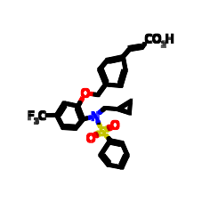 O=C(O)C=Cc1ccc(COc2cc(C(F)(F)F)ccc2N(CC2CC2)S(=O)(=O)c2ccccc2)cc1